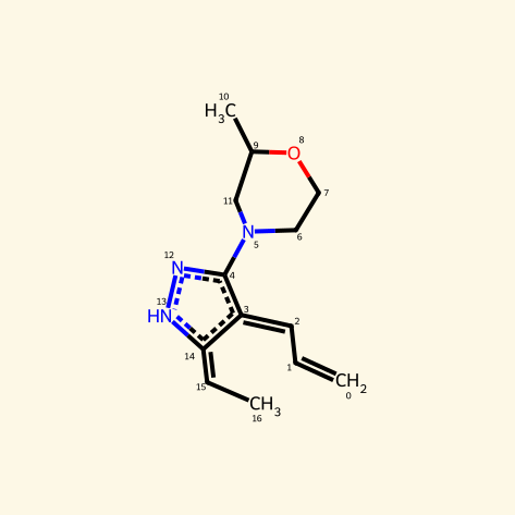 C=C/C=c1/c(N2CCOC(C)C2)n[nH]/c1=C/C